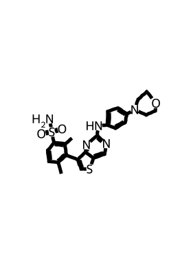 Cc1ccc(S(N)(=O)=O)c(C)c1-c1csc2cnc(Nc3ccc(N4CCOCC4)cc3)nc12